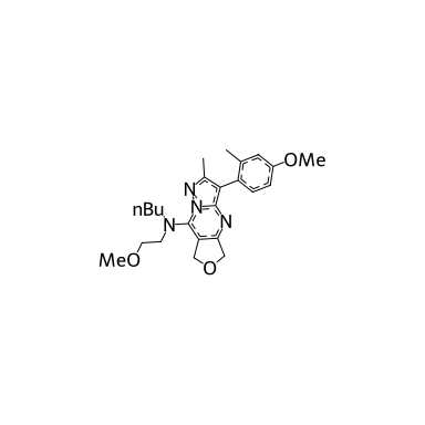 CCCCN(CCOC)c1c2c(nc3c(-c4ccc(OC)cc4C)c(C)nn13)COC2